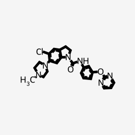 CN1CCN(c2cc3c(cc2Cl)CCN3C(=O)Nc2cccc(Oc3ncccn3)c2)CC1